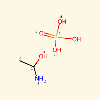 CC(N)O.O=P(O)(O)O